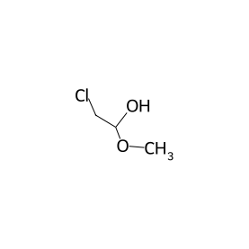 COC(O)CCl